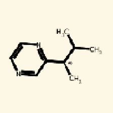 CC(C)[C@@H](C)c1cnccn1